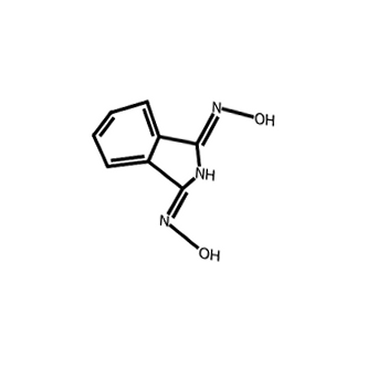 O/N=C1\N/C(=N\O)c2ccccc21